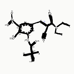 CCN(CC)C(=O)/C(C#N)=C/c1cc(OC(=O)C(C)(C)C)c(O)c([N+](=O)[O-])c1